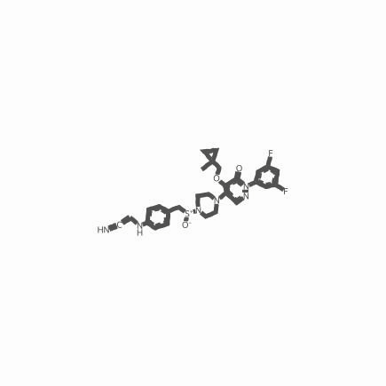 CC1(COc2c(N3CCN([S+]([O-])Cc4ccc(NC=C=N)cc4)CC3)cnn(-c3cc(F)cc(F)c3)c2=O)CC1